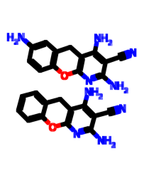 N#Cc1c(N)nc2c(c1N)Cc1cc(N)ccc1O2.N#Cc1c(N)nc2c(c1N)Cc1ccccc1O2